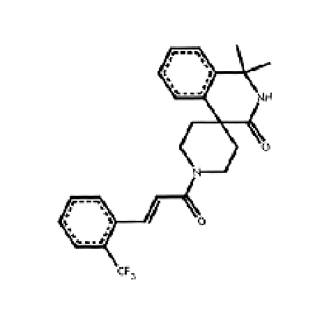 CC1(C)NC(=O)C2(CCN(C(=O)C=Cc3ccccc3C(F)(F)F)CC2)c2ccccc21